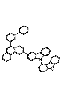 c1ccc(-c2cccc(-c3cc4ccccc4c4cc(-c5ccc6c(c5)c5ccccc5n6-c5cccc6oc7ccccc7c56)ccc34)c2)cc1